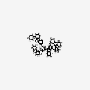 c1ccc(-c2cccc3c2oc2cc(-c4nc(-c5cccc6sc7ccccc7c56)nc(-n5c6ccccc6c6c7c(ccc65)C5(c6ccccc6-c6ccccc65)c5ccccc5-7)n4)ccc23)cc1